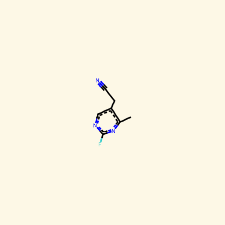 Cc1nc(F)ncc1CC#N